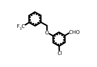 O=Cc1cc(Cl)cc(OCc2cccc(C(F)(F)F)c2)c1